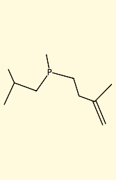 C=C(C)CCP(C)CC(C)C